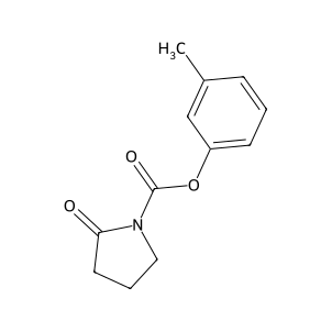 Cc1cccc(OC(=O)N2CCCC2=O)c1